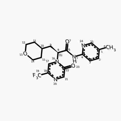 Cc1ccc(NC(=O)[C@H](CC2CCOCC2)n2cc(C(F)(F)F)ncc2=O)nc1